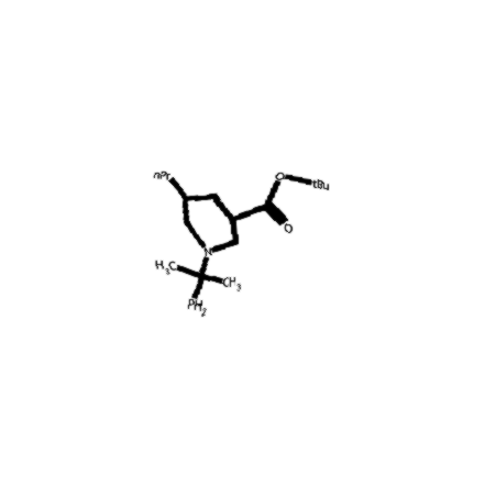 CCCC1CC(C(=O)OC(C)(C)C)CN(C(C)(C)P)C1